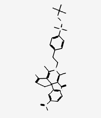 CCC1(c2cccc([N+](=O)[O-])c2)C(C(=O)O)=C(C)N(CCc2ccc([Si](C)(C)O[SiH2]C(C)(C)C)cc2)C(C)=C1C(=O)O